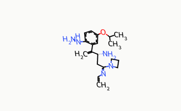 C=C/N=C(\C[C@@H](N)C(=C)c1cc(OC(C)C)ccc1NN)N1CCC1